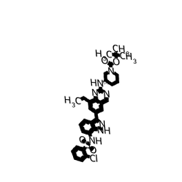 CCc1cc(-c2n[nH]c3c(NS(=O)(=O)c4ccccc4Cl)cccc23)cc2cnc(N[C@H]3CCCN(C(=O)OC(C)(C)C)C3)nc12